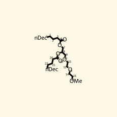 CCCCCCCCCCCCCC(=O)OCC(COCCOCCOC)OC(=O)CCCCCCCCCCCCC